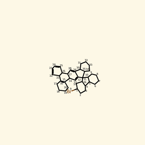 BrC1CCC2C3CCCCC3C3(C4=CC5C6=C(CCCC6)C6C=CC=CC6C5C=C4C4CCCCC43)C2C1